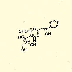 O=C[C@@H](OC(=O)CN(O)c1ccccc1)[C@@H](O)[C@H](O)[C@H](O)CO